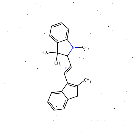 CC1=C(/C=C/C2N(C)c3ccccc3C2(C)C)c2ccccc2C1